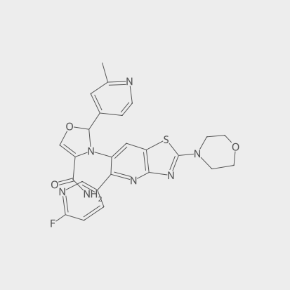 Cc1cc(C2OC=C(C(N)=O)N2c2cc3sc(N4CCOCC4)nc3nc2-c2ccc(F)nc2)ccn1